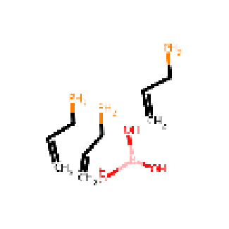 C=CCP.C=CCP.C=CCP.OB(O)O